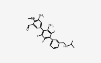 Bc1c(F)c(-c2cccc(CNC(C)C)c2)c(F)c(F)c1-c1cc(N)c(NC)c(C=O)c1